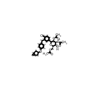 CC(=O)OC[C@H]1OC(c2ccc(Cl)c(Cc3ccc(OC4CC5CC5C4)cc3)c2)[C@H](OC(C)=O)[C@@H](OC(C)=O)[C@@H]1O